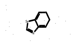 C1=c2nc[se]c2=CCC1